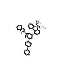 CC1(C)c2ccccc2-c2c(-c3cc(-c4cc5ccccc5s4)nc(-c4ccc(-c5cccnc5)cc4)n3)cccc21